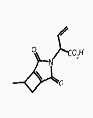 C=CC(C(=O)O)N1C(=O)C2=C(C1=O)C(C)C2